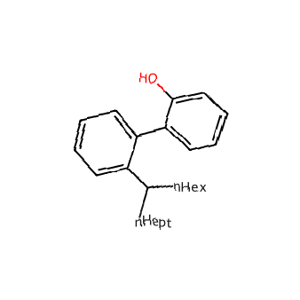 CCCCCCCC(CCCCCC)c1ccccc1-c1ccccc1O